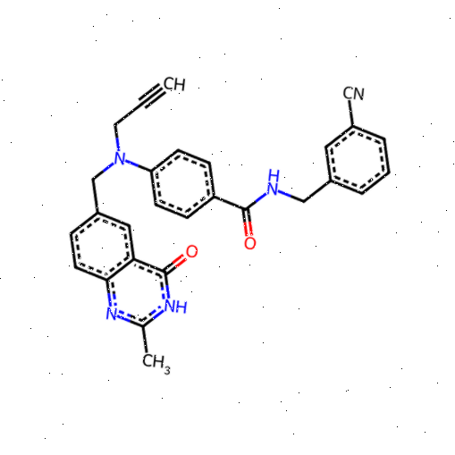 C#CCN(Cc1ccc2nc(C)[nH]c(=O)c2c1)c1ccc(C(=O)NCc2cccc(C#N)c2)cc1